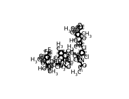 CCOC(=O)C1=NN(c2ccc(Cl)cc2Cl)C(C)(C(=O)OCC)C1.CCc1cc(C)cc(CC)c1-c1c(OC(=O)C(C)(C)C)n2n(c1=O)CCOCC2.Cc1c(C(=O)c2cnn(C)c2O)ccc(S(C)(=O)=O)c1C1=NOCC1.Cc1nn(C)c(O)c1C(=O)c1ccc(C(F)(F)F)cc1S(C)(=O)=O